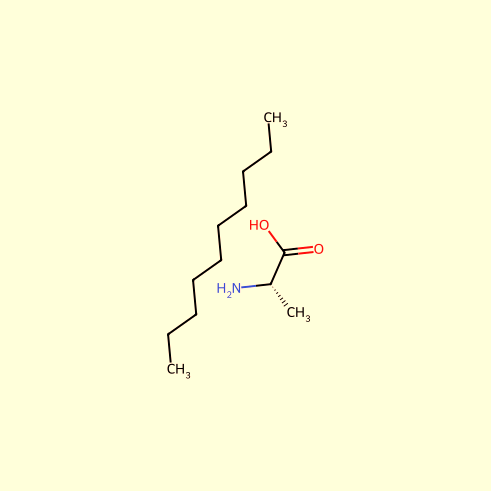 CCCCCCCCCC.C[C@H](N)C(=O)O